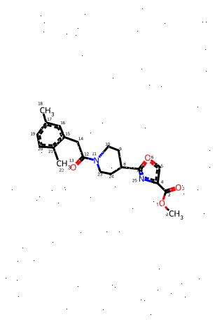 COC(=O)c1coc(C2CCN(C(=O)Cc3cc(C)ccc3C)CC2)n1